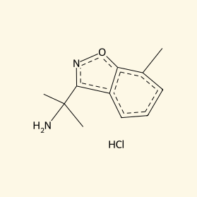 Cc1cccc2c(C(C)(C)N)noc12.Cl